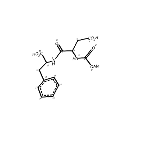 COC(=O)NC(CC(=O)O)C(=O)NC(Cc1ccccc1)C(=O)O